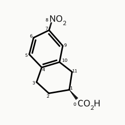 O=C(O)[C@H]1CCc2ccc([N+](=O)[O-])cc2C1